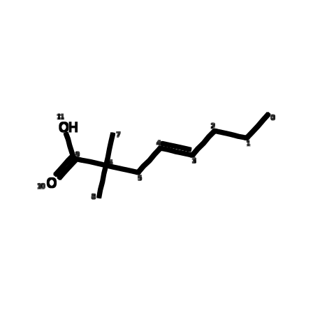 CCC/C=C/CC(C)(C)C(=O)O